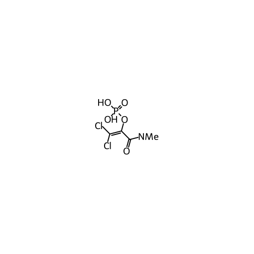 CNC(=O)C(OP(=O)(O)O)=C(Cl)Cl